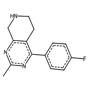 Cc1nc2c(c(-c3ccc(F)cc3)n1)CCNC2